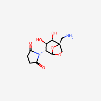 NC[C@@]12COC(O1)[C@H](N1C(=O)CCC1=O)[C@@H](O)[C@H]2O